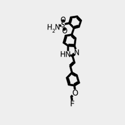 NS(=O)(=O)c1ccccc1-c1ccc2[nH]c(/C=C/c3ccc(OCF)cc3)nc2c1